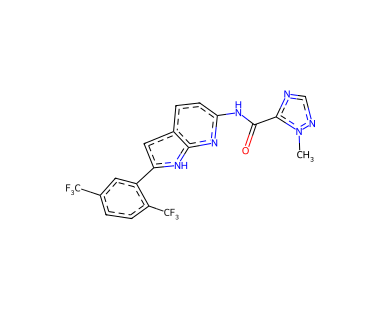 Cn1ncnc1C(=O)Nc1ccc2cc(-c3cc(C(F)(F)F)ccc3C(F)(F)F)[nH]c2n1